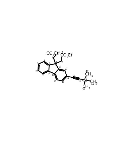 CCOC(=O)CC1(CC(=O)OCC)c2ccccc2-c2ccc(C#C[Si](C)(C)C)cc21